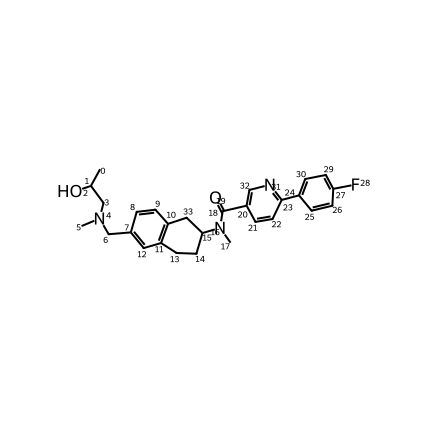 CC(O)CN(C)Cc1ccc2c(c1)CCC(N(C)C(=O)c1ccc(-c3ccc(F)cc3)nc1)C2